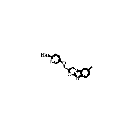 Cc1ccc2nc3n(c2c1)C[C@@H](COc1ccc(C(C)(C)C)nc1)O3